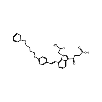 O=C(O)CCC(=O)c1cn(CC(=O)O)c2c(/C=C/c3ccc(OCCCCOc4ccccc4)cc3)cccc12